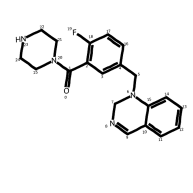 O=C(c1cc(CN2CN=Cc3ccccc32)ccc1F)N1CCNCC1